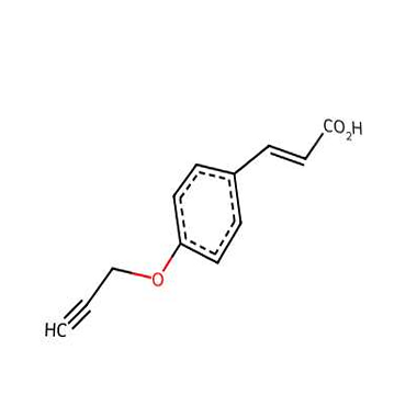 C#CCOc1ccc(C=CC(=O)O)cc1